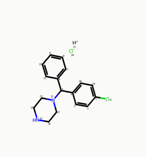 Clc1ccc(C(c2ccccc2)N2CCNCC2)cc1.[Cl-].[H+]